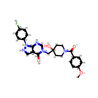 COc1ccc(C(=O)N2CCC(O)(Cn3cnc4c(cnn4-c4ccc(F)cc4)c3=O)CC2)cc1